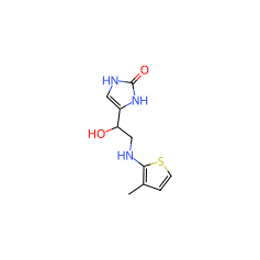 Cc1ccsc1NCC(O)c1c[nH]c(=O)[nH]1